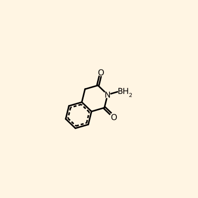 BN1C(=O)Cc2ccccc2C1=O